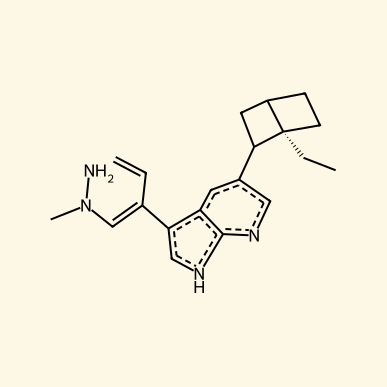 C=C/C(=C\N(C)N)c1c[nH]c2ncc(C3CC4CC[C@]43CC)cc12